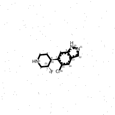 F[C@@H]1CNCC[C@H]1c1cc2[nH]ncc2cc1Cl